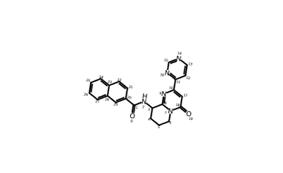 O=C(NC1CCCn2c1nc(-c1ccncn1)cc2=O)c1ccc2ccccc2c1